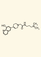 CN(C)CCCNC(=O)CN1CC=C(c2cc(O)c3ncccc3c2)CC1